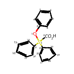 O=C(O)S(Oc1ccccc1)(c1ccccc1)c1ccccc1